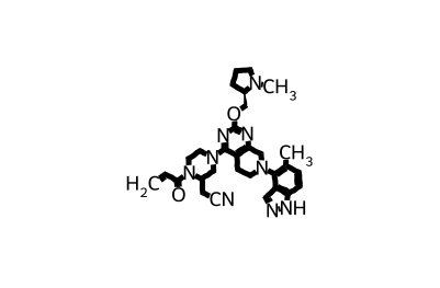 C=CC(=O)N1CCN(c2nc(OC[C@H]3CCCN3C)nc3c2CCN(c2c(C)ccc4[nH]ncc24)C3)CC1CC#N